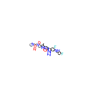 Cc1c(/C=C2\C(=O)Nc3cc(NCc4ccc(F)cc4)c(F)cc32)[nH]c2c1C(=O)N(CC(O)CN1CCCCC1)CC2